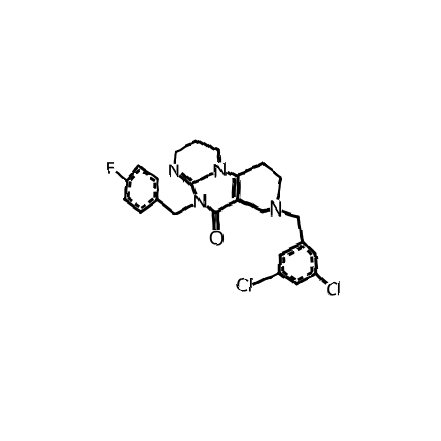 O=C1C2=C(CCN(Cc3cc(Cl)cc(Cl)c3)C2)N2CCCN=C2N1Cc1ccc(F)cc1